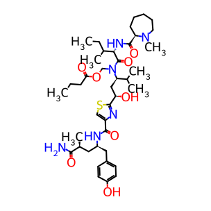 CCCC(=O)OCN(C(=O)[C@@H](NC(=O)[C@H]1CCCCCN1C)C(C)CC)[C@H](C[C@@H](O)c1nc(C(=O)N[C@@H](Cc2ccc(O)cc2)C[C@H](C)C(N)=O)cs1)C(C)C